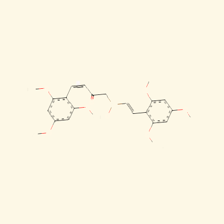 COc1cc(OC)c(C=C[S+]([O-])CC(=O)/C=C\c2c(OC)cc(OC)cc2OC)c(OC)c1